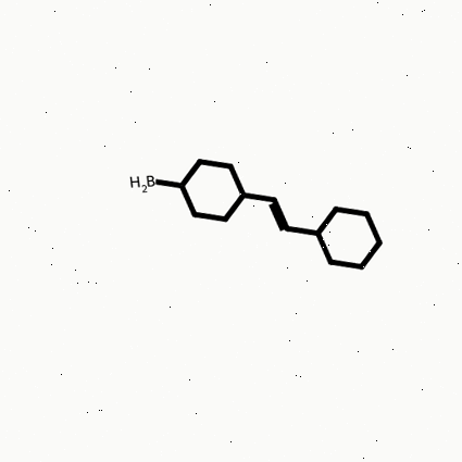 BC1CCC(/C=C/C2CCCCC2)CC1